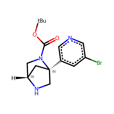 CC(C)(C)OC(=O)N1C[C@@H]2C[C@]1(c1cncc(Br)c1)CN2